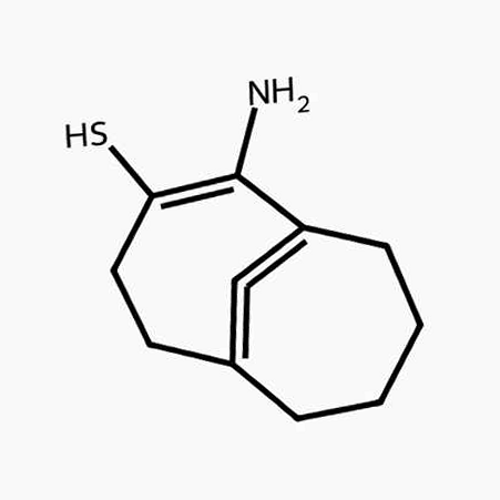 NC1=C(S)CCC2=C=C1CCCC2